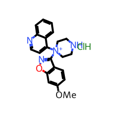 COc1ccc2c([N+]3(c4ccnc5ccccc45)CCNCC3)noc2c1.Cl